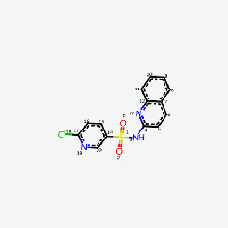 O=S(=O)(Nc1ccc2ccccc2n1)c1ccc(Cl)nc1